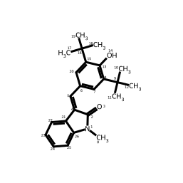 CN1C(=O)/C(=C\c2cc(C(C)(C)C)c(O)c(C(C)(C)C)c2)c2ccccc21